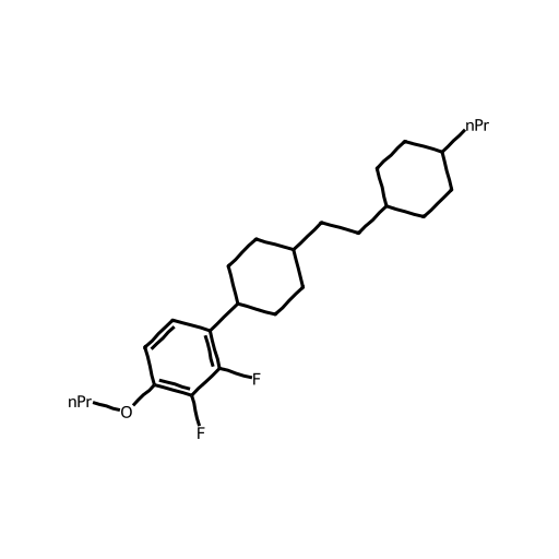 CCCOc1ccc(C2CCC(CCC3CCC(CCC)CC3)CC2)c(F)c1F